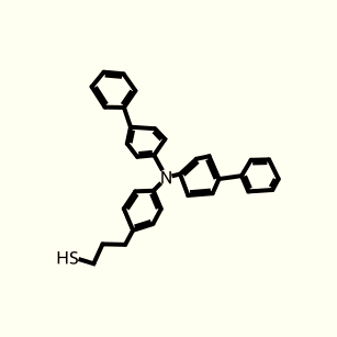 SCCCc1ccc(N(c2ccc(-c3ccccc3)cc2)c2ccc(-c3ccccc3)cc2)cc1